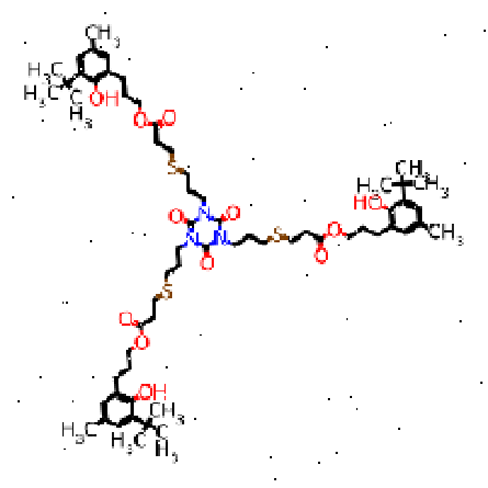 Cc1cc(CCCOC(=O)CCSCCCn2c(=O)n(CCCSCCC(=O)OCCCc3cc(C)cc(C(C)(C)C)c3O)c(=O)n(CCCSCCC(=O)OCCCc3cc(C)cc(C(C)(C)C)c3O)c2=O)c(O)c(C(C)(C)C)c1